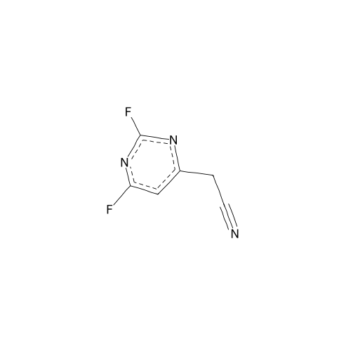 N#CCc1cc(F)nc(F)n1